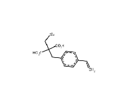 C=Cc1ccc(CC(CC(C)(C)C)(C(=O)O)C(=O)O)cc1